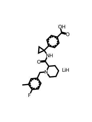 Cc1cc(CN2CCCCC2C(=O)NC2(c3ccc(C(=O)O)cc3)CC2)ccc1F.[LiH]